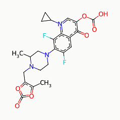 Cc1oc(=O)oc1CN1CCN(c2c(F)cc3c(=O)c(OC(=O)O)cn(C4CC4)c3c2F)CC1C